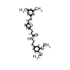 COc1ccc(CCNC(=O)CSc2nnc(CSc3nc(C)cc(C)n3)o2)cc1OC